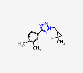 Cc1ccc(-c2nnn(CC3CC3(C)F)n2)cc1C